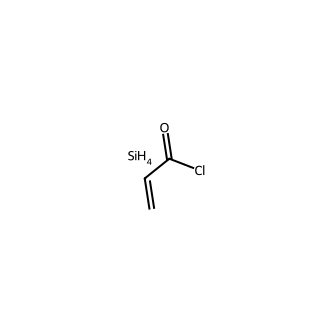 C=CC(=O)Cl.[SiH4]